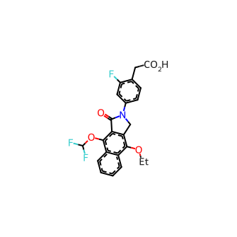 CCOc1c2c(c(OC(F)F)c3ccccc13)C(=O)N(c1ccc(CC(=O)O)c(F)c1)C2